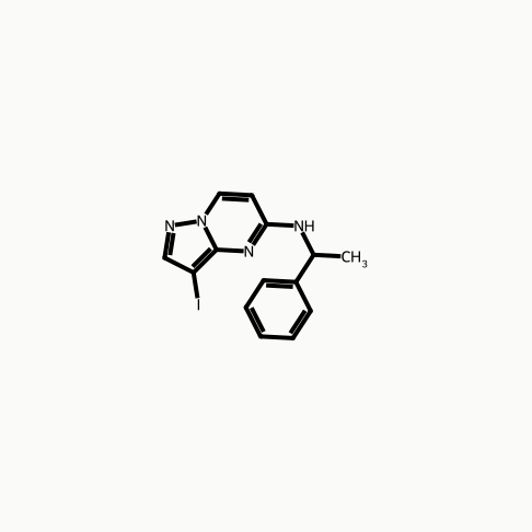 CC(Nc1ccn2ncc(I)c2n1)c1ccccc1